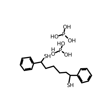 OP(O)O.OP(O)O.SC(CCCCC(S)c1ccccc1)c1ccccc1